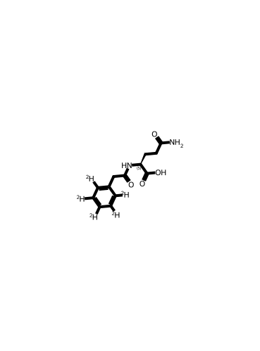 [2H]c1c([2H])c([2H])c(CC(=O)N[C@@H](CCC(N)=O)C(=O)O)c([2H])c1[2H]